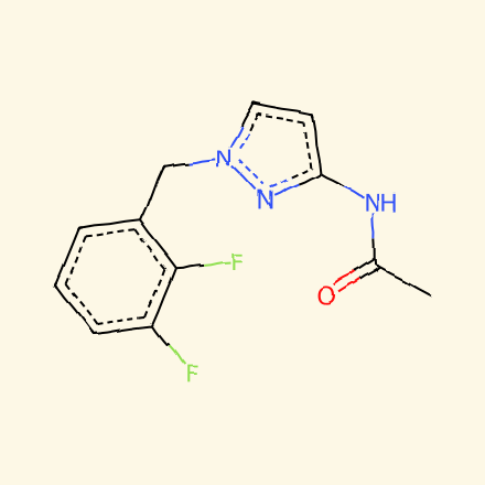 CC(=O)Nc1ccn(Cc2cccc(F)c2F)n1